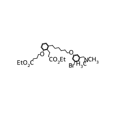 CCOC(=O)CCCOc1cccc(CCCCCCOc2cc(Br)cc(CN(C)C)c2)c1CCC(=O)OCC